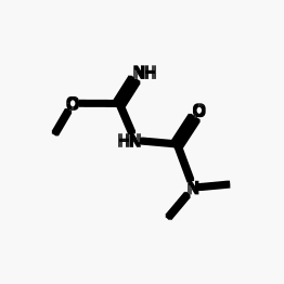 COC(=N)NC(=O)N(C)C